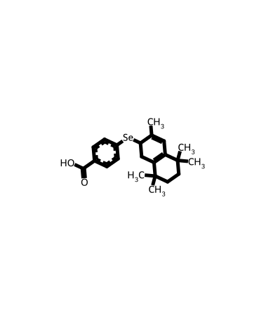 CC1=CC2=C(CC1[Se]c1ccc(C(=O)O)cc1)C(C)(C)CCC2(C)C